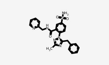 Cc1nc(Cc2ccccc2)n(-c2ccc(S(N)(=O)=O)cc2C(=O)NCc2ccccn2)n1